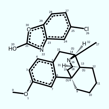 COc1ccc2c(c1)[C@]13CCCC[C@@H]1[C@H](C2)N(C)CC3.Oc1nc2cc(Cl)ccc2o1